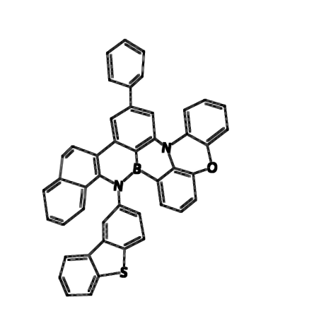 c1ccc(-c2cc3c4c(c2)N2c5ccccc5Oc5cccc(c52)B4N(c2ccc4sc5ccccc5c4c2)c2c-3ccc3ccccc23)cc1